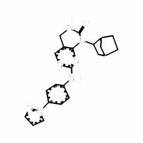 O=C1NCc2cnc(Nc3ccc(-n4cccn4)cc3)nc2N1C1CC2CCC1C2